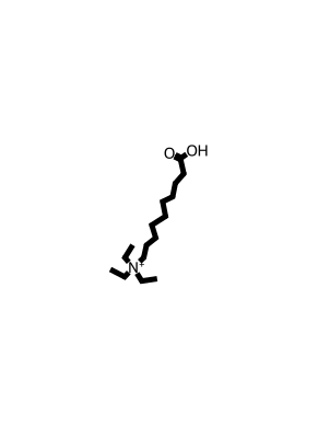 CC[N+](CC)(CC)CCCCCCCCCC(=O)O